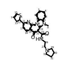 Cn1c2ccccc2n2c3nc(C4CC=CS4)ccc3c(=O)c(C(=O)NCCN3CCCC3)c12